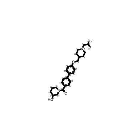 CCC(F)CN1CCC(COc2ccc(-c3ccc(C(=O)N4CCCC(O)C4)cc3)cc2)CC1